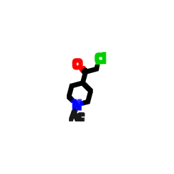 CC(=O)N1CCC(C(=O)CCl)CC1